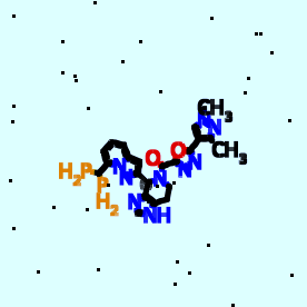 Cc1nn(C)cc1-c1nnc(C(=O)N2CCc3[nH]cnc3[C@H]2c2cc3cccc(C(P)P)n3n2)o1